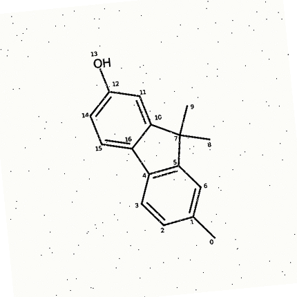 Cc1ccc2c(c1)C(C)(C)c1cc(O)ccc1-2